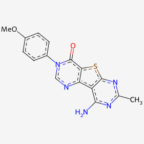 COc1ccc(-n2cnc3c(sc4nc(C)nc(N)c43)c2=O)cc1